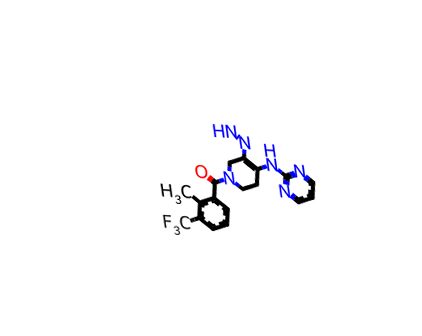 Cc1c(C(=O)N2CCC(Nc3ncccn3)=C(N=N)C2)cccc1C(F)(F)F